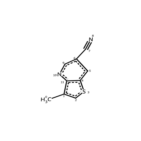 Cc1csc2cc(C#N)cnc12